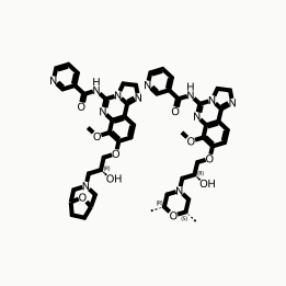 COc1c(OC[C@H](O)CN2CC3CCC(C2)O3)ccc2c1N=C(NC(=O)c1cccnc1)N1CCN=C21.COc1c(OC[C@H](O)CN2C[C@@H](C)O[C@@H](C)C2)ccc2c1N=C(NC(=O)c1cccnc1)N1CCN=C21